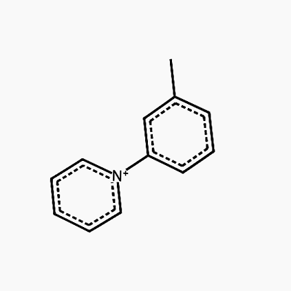 Cc1cccc(-[n+]2ccccc2)c1